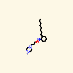 CCCCCCCC=C1CCCCC1=NOCCCN1CCN(C)CC1